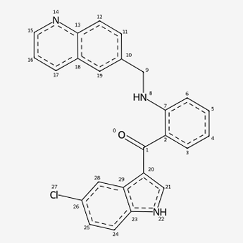 O=C(c1ccccc1NCc1ccc2ncccc2c1)c1c[nH]c2ccc(Cl)cc12